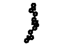 c1cc(-c2ccc3nc4c(nc3c2)oc2ccc(-c3cccc(-c5cccc6c5sc5ccccc56)c3)cc24)cc(-c2cccc3c2sc2ccccc23)c1